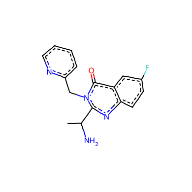 CC(N)c1nc2ccc(F)cc2c(=O)n1Cc1ccccn1